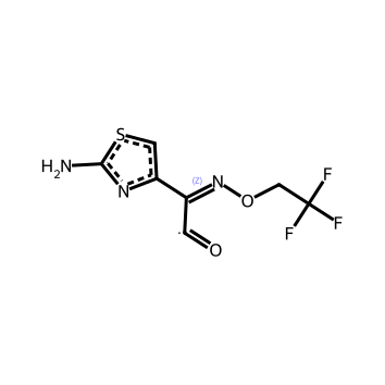 Nc1nc(/C([C]=O)=N/OCC(F)(F)F)cs1